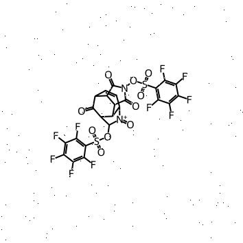 O=C1C2C=CC3C(C4C(=O)N(OS(=O)(=O)c5c(F)c(F)c(F)c(F)c5F)C(=O)C24)C1C(OS(=O)(=O)c1c(F)c(F)c(F)c(F)c1F)[N+]3=O